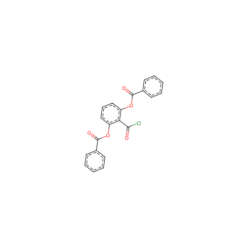 O=C(Oc1cccc(OC(=O)c2ccccc2)c1C(=O)Cl)c1ccccc1